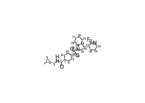 O=C(NCC1CC1)c1ccc(S(=O)(=O)n2cc(-c3cccnc3F)c3ccccc32)cc1